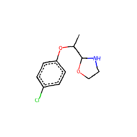 CC(Oc1ccc(Cl)cc1)C1NCCO1